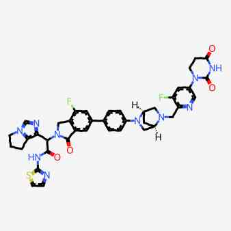 O=C1CCN(c2cnc(CN3C[C@H]4C[C@@H]3CN4c3ccc(-c4cc(F)c5c(c4)C(=O)N(C(C(=O)Nc4nccs4)c4ncn6c4CCC6)C5)cc3)c(F)c2)C(=O)N1